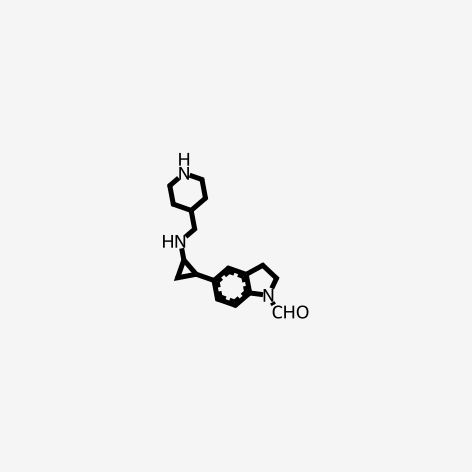 O=CN1CCc2cc(C3CC3NCC3CCNCC3)ccc21